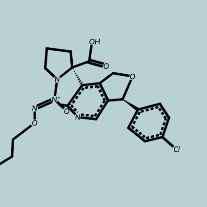 CCCON=[N+]([O-])N1CCC[C@]1(C(=O)O)c1c(C)ncc2c1CO[C@H]2c1ccc(Cl)cc1